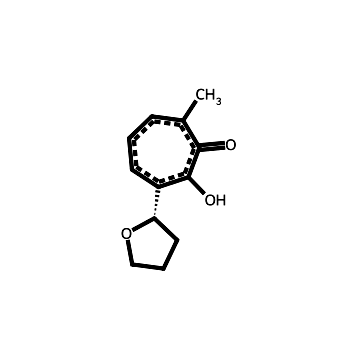 Cc1cccc([C@@H]2CCCO2)c(O)c1=O